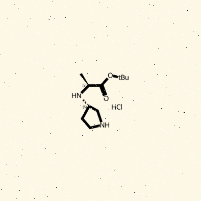 C[C@H](N[C@H]1CCNC1)C(=O)OC(C)(C)C.Cl